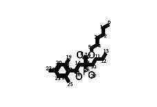 CCCCCCOC(=O)C(CCCC)(CC(=O)c1c(C)cc(C)cc1C)P=O